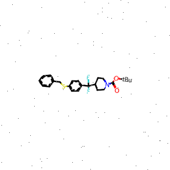 CC(C)(C)OC(=O)N1CCC(C(F)(F)c2ccc(SCc3ccccc3)cc2)CC1